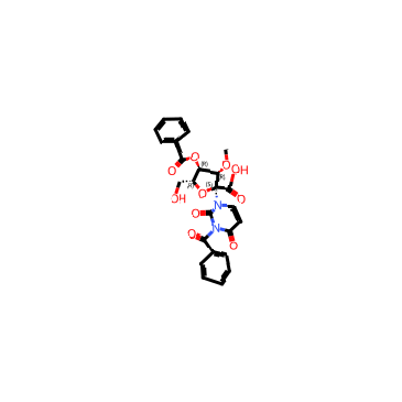 CO[C@@H]1[C@H](OC(=O)c2ccccc2)[C@@H](CO)O[C@@]1(C(=O)O)n1ccc(=O)n(C(=O)c2ccccc2)c1=O